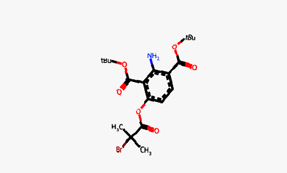 CC(C)(C)OC(=O)c1ccc(OC(=O)C(C)(C)Br)c(C(=O)OC(C)(C)C)c1N